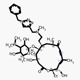 CC[C@H]1OC(=O)C[C@@H](O)[C@H](C)[C@@H](O[C@@H]2O[C@H](C)C(O)C(N(C)C)C2O)[C@@H](CCN(C)Cc2cn(Cc3ccccc3)nn2)C[C@@H](C)C(=O)/C=C/C(C)=C/[C@@H]1CO